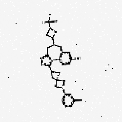 Cc1cncc(N2CC3(CC(c4nnc5n4-c4ccc(Cl)cc4CN(C4CC(C(F)(F)F)C4)C5)C3)C2)n1